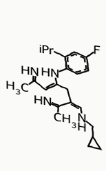 CC(=N)/C=C(/C/C(=C/NCC1CC1)C(C)=N)Nc1ccc(F)cc1C(C)C